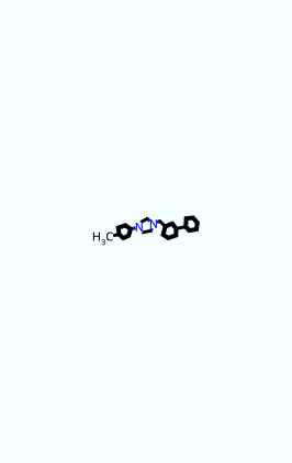 Cc1ccc(N2CCN(Cc3cccc(-c4ccccc4)c3)CC2)cc1